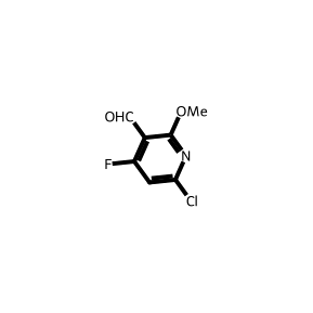 COc1nc(Cl)cc(F)c1C=O